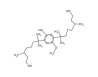 COc1cc(C(C)(C)CCCC(C)CCO)c(O)cc1C(C)(C)CCCC(C)CCO